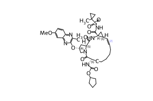 COc1ccc2nc(C)c(O[C@@H]3C[C@H]4C(=O)N[C@]5(C(=O)NS(=O)(=O)C6(C)CC6)C[C@H]5/C=C\CCCCC[C@H](NC(=O)OC5CCCC5)C(=O)N4C3)nc2c1